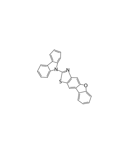 c1ccc2c(c1)oc1cc3nc(-n4c5ccccc5c5ccccc54)sc3cc12